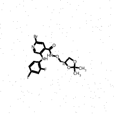 CC1(C)OC[C@H](CONC(=O)c2cc(Br)ncc2Nc2ccc(I)cc2F)O1